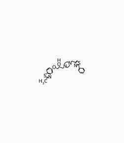 Cc1nc2cc(OC[C@H](O)CN3CCN(Cc4csc(-c5ccccc5)n4)CC3)ccc2s1